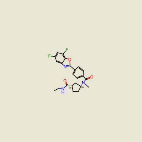 CCNC(=O)[C@H]1CC[C@@H](N(C)C(=O)c2ccc(-c3nc4cc(F)cc(F)c4o3)cc2)C1